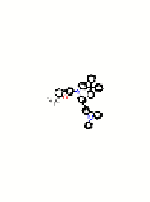 CC1CC=Cc2c1oc1cc(N(c3ccc(-c4ccc5c(c4)c4ccccc4n5-c4ccccc4)cc3)c3ccc4c(c3)C(c3ccccc3)(c3ccccc3)c3ccccc3-4)ccc21